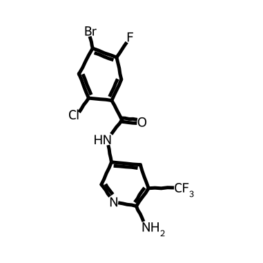 Nc1ncc(NC(=O)c2cc(F)c(Br)cc2Cl)cc1C(F)(F)F